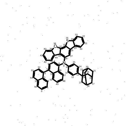 c1ccc2c(-c3ccc(N(c4ccc(C56CC7CC(CC(C7)C5)C6)cc4)c4cc5c6ccccc6sc5c5oc6ccccc6c45)c4ccccc34)cccc2c1